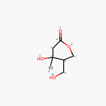 CCC1(O)CC(=O)OCC1CO